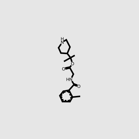 Cc1ccccc1C(=O)NCC(=O)OC(C)(C)C1CCNCC1